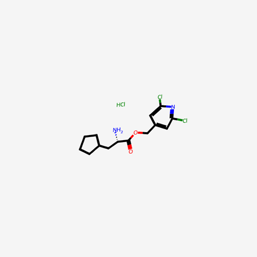 Cl.N[C@@H](CC1CCCC1)C(=O)OCc1cc(Cl)nc(Cl)c1